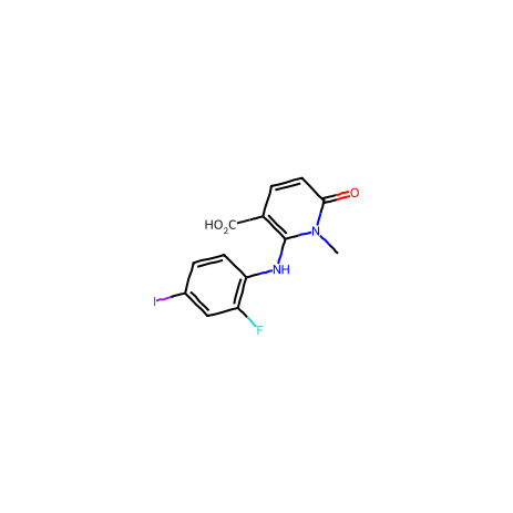 Cn1c(Nc2ccc(I)cc2F)c(C(=O)O)ccc1=O